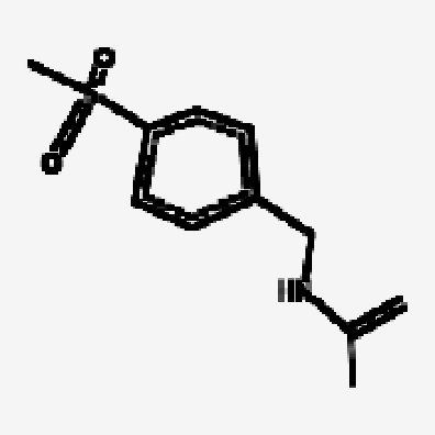 C=C(C)NCc1ccc(S(C)(=O)=O)cc1